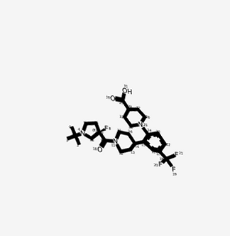 CC(C)(C)N1CC[C@](F)(C(=O)N2CCC(c3cc(C(F)(F)F)ccc3N3CCC(C(=O)O)CC3)CC2)C1